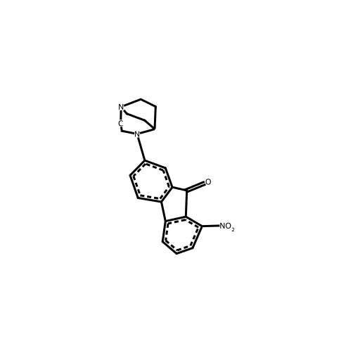 O=C1c2cc(N3CCN4CCC3CC4)ccc2-c2cccc([N+](=O)[O-])c21